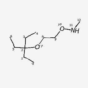 CCC(CC)(CC)OCCONC